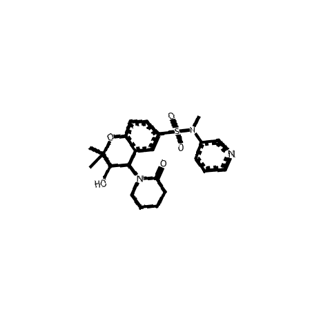 CN(c1cccnc1)S(=O)(=O)c1ccc2c(c1)C(N1CCCCC1=O)C(O)C(C)(C)O2